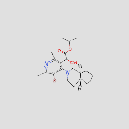 Cc1nc(C)c(C(O)C(=O)OC(C)C)c(N2CC[C@H]3CCCC[C@@H]3C2)c1Br